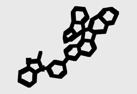 Cc1nc2ccccc2n1-c1cccc(-c2ccc3c4c(ccc3c2)-c2cc3ccccc3cc2C42c3ccccc3-c3ccccc32)c1